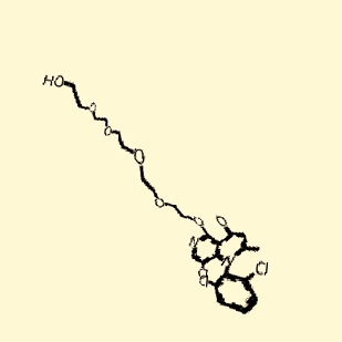 Cc1cc(=O)c2c(OCCOCCOCCOCCOCCO)ncc(Cl)c2n1-c1c(Cl)cccc1Cl